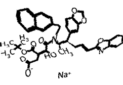 C[C@H]([C@H](C/C=C/c1nc2ccccc2o1)c1ccc2c(c1)OCO2)N(Cc1ccc2ccccc2c1)C(=O)C(O)=C(CC(=O)[O-])C(=O)OC(C)(C)C.[Na+]